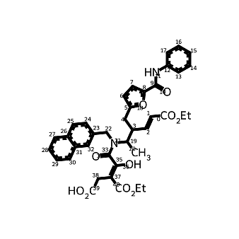 CCOC(=O)C=CC(Cc1ccc(C(=O)Nc2ccccc2)o1)C(C)N(Cc1ccc2ccccc2c1)C(=O)C(O)=C(CC(=O)O)C(=O)OCC